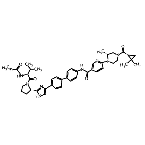 COC(=O)N[C@H](C(=O)N1CCC[C@H]1c1nc(-c2ccc(-c3ccc(NC(=O)c4ccc(N5CCN(C(=O)[C@H]6CC6(C)C)C[C@H]5C)nc4)cc3)cc2)c[nH]1)C(C)C